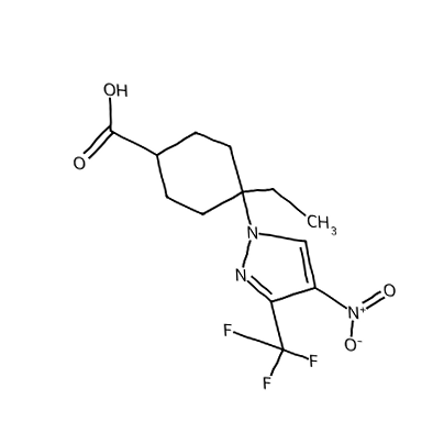 CCC1(n2cc([N+](=O)[O-])c(C(F)(F)F)n2)CCC(C(=O)O)CC1